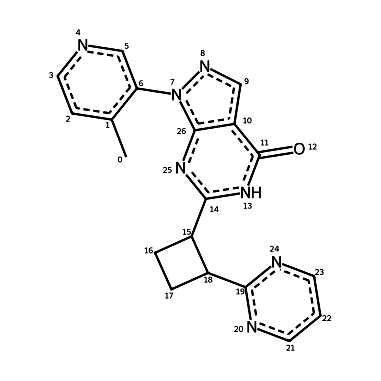 Cc1ccncc1-n1ncc2c(=O)[nH]c(C3CCC3c3ncccn3)nc21